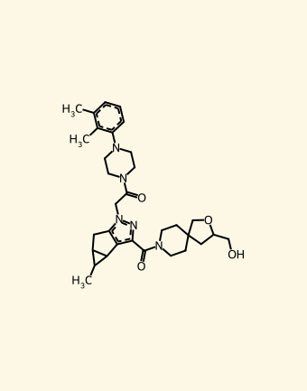 Cc1cccc(N2CCN(C(=O)Cn3nc(C(=O)N4CCC5(CC4)COC(CO)C5)c4c3CC3C(C)C43)CC2)c1C